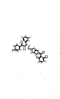 O=C(N[C@@H](CCN1CC2=CN(C(=O)c3c(F)cccc3Cl)CC2C1)c1ccccc1)c1ccc(F)cc1